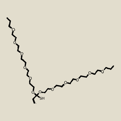 [CH2]CC(S)(OCCOCCOCCOCCOCCOCCC)OCCOCCOCCOCCOCCOCCC